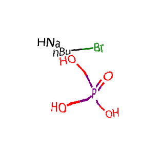 CCCCBr.O=P(O)(O)O.[NaH]